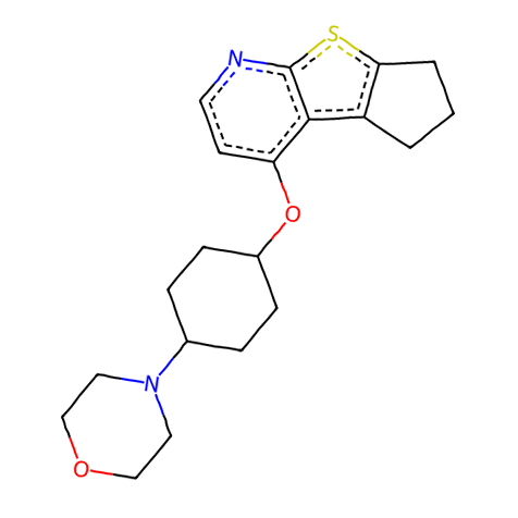 c1cc(OC2CCC(N3CCOCC3)CC2)c2c3c(sc2n1)CCC3